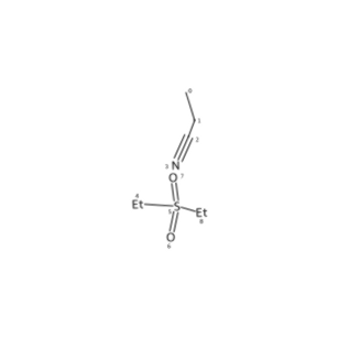 CCC#N.CCS(=O)(=O)CC